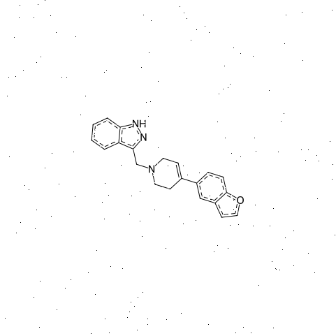 C1=C(c2ccc3occc3c2)CCN(Cc2n[nH]c3ccccc23)C1